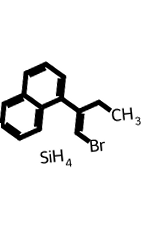 CCC(=CBr)c1cccc2ccccc12.[SiH4]